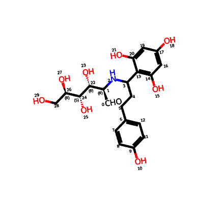 O=C[C@H](NC(CCc1ccc(O)cc1)c1c(O)cc(O)cc1O)[C@@H](O)[C@H](O)[C@H](O)CO